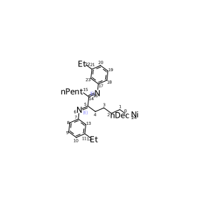 CCCCCCCCCCCCCCC(=N\c1cccc(CC)c1)/C(CCCCC)=N/c1cccc(CC)c1.[Ni]